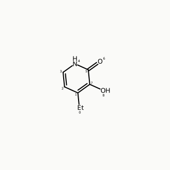 [CH2]Cc1cc[nH]c(=O)c1O